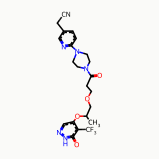 CC(COCCC(=O)N1CCN(c2ccc(CC#N)cn2)CC1)Oc1cn[nH]c(=O)c1C(F)(F)F